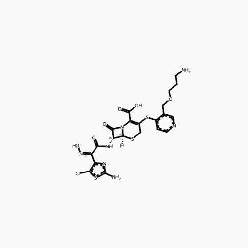 NCCCOCc1cnccc1SC1=C(C(=O)O)N2C(=O)[C@@H](NC(=O)/C(=N\O)c3nc(N)sc3Cl)[C@@H]2SC1